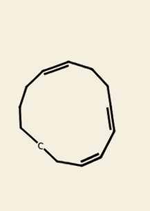 C1=CCCC=CCCCCCC=C1